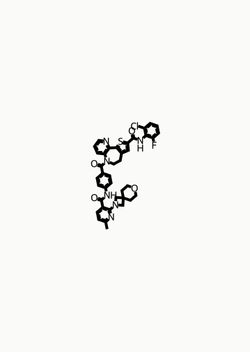 Cc1ccc(C(=O)Nc2ccc(C(=O)N3CCc4cc(C(=O)Nc5c(F)cccc5Cl)sc4-c4ncccc43)cc2)c(N2CC3(CCOCC3)C2)n1